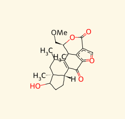 COC[C@H]1OC(=O)c2coc3c2[C@@]1(C)C1=C(C3=O)[C@@H]2CCC(O)[C@@]2(C)CC1C